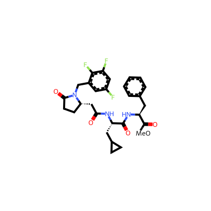 COC(=O)[C@H](Cc1ccccc1)NC(=O)[C@H](CC1CC1)NC(=O)C[C@@H]1CCC(=O)N1Cc1cc(F)cc(F)c1F